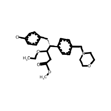 CCOC(CC(=O)OC)[C@H](Cc1ccc(Cl)cc1)c1ccc(CN2CCOCC2)cc1